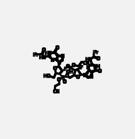 CC(C)C(=O)Nc1nc2c(ncn2C2OC(COP(=O)(OCCC#N)[C@@H]3C(CO)OC(n4cnc5c(=O)[nH]c(NC(=O)C(C)C)nc54)[C@@H]3F)[C@@H](P(=O)(O)OCCC#N)[C@H]2F)c(=O)[nH]1